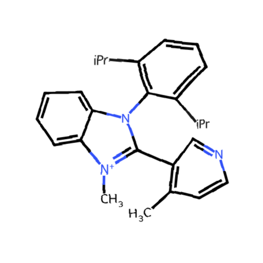 Cc1ccncc1-c1n(-c2c(C(C)C)cccc2C(C)C)c2ccccc2[n+]1C